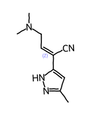 Cc1cc(/C(C#N)=C/CN(C)C)[nH]n1